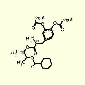 CCCC(C)C(=O)Oc1ccc(C[C@H](N)C(=O)O[C@@H](C)C(C)OC(=O)C2CCCCC2)cc1OC(=O)C(C)CCC